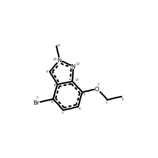 CCOc1ccc(Br)c2cn(C)nc12